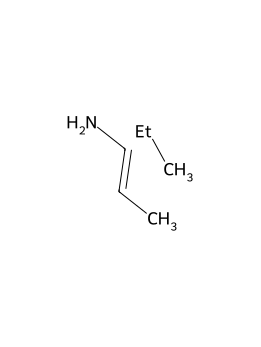 CC=CN.CCC